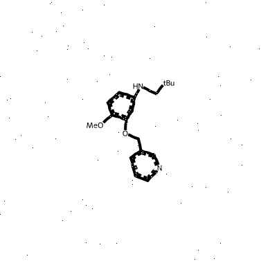 COc1ccc(NCC(C)(C)C)cc1OCc1cccnc1